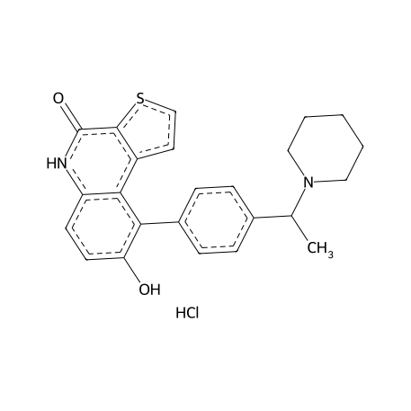 CC(c1ccc(-c2c(O)ccc3[nH]c(=O)c4sccc4c23)cc1)N1CCCCC1.Cl